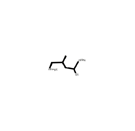 CCCCCCCCC(C)[CH]C(CC)CCCCCC